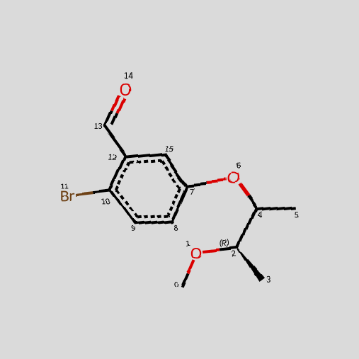 CO[C@H](C)C(C)Oc1ccc(Br)c(C=O)c1